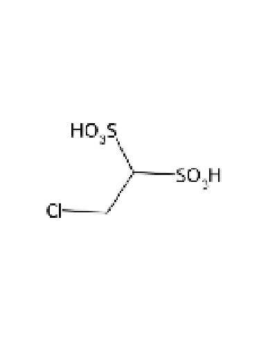 O=S(=O)(O)C(CCl)S(=O)(=O)O